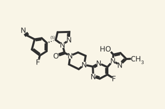 Cc1cc(O)n(-c2nc(N3CCN(C(=O)N4N=CC[C@H]4c4cc(F)cc(C#N)c4)CC3)ncc2F)n1